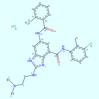 CCN(CC)CCNc1nc2c(C(=O)Nc3cccc(Cl)c3C)cc(NC(=O)c3ccccc3C(F)(F)F)cc2[nH]1.Cl